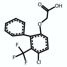 O=C(O)COc1ccc(Cl)c(C(F)(F)F)c1-c1ccccc1